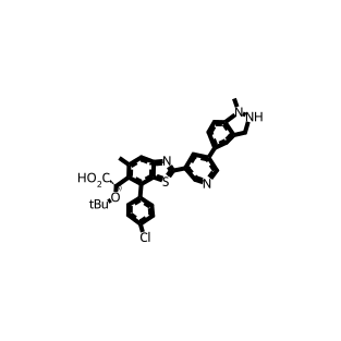 Cc1cc2nc(-c3cncc(-c4ccc5c(c4)CNN5C)c3)sc2c(-c2ccc(Cl)cc2)c1[C@H](OC(C)(C)C)C(=O)O